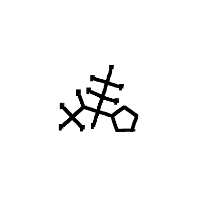 F[C](C(F)(F)F)C(F)(C1C[CH]CC1)C(F)(F)C(F)(F)F